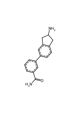 NC(=O)c1cccc(-c2ccc3c(c2)CC(N)C3)c1